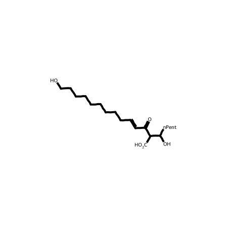 CCCCCC(O)C(C(=O)O)C(=O)C=CCCCCCCCCCO